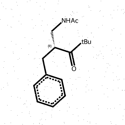 CC(=O)NC[C@@H](Cc1ccccc1)C(=O)C(C)(C)C